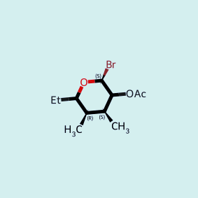 CCC1O[C@@H](Br)C(OC(C)=O)[C@@H](C)[C@H]1C